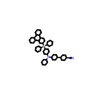 N#Cc1ccc(-c2ccc(N(c3ccccc3)c3ccc([Si](c4ccccc4)(c4ccccc4)c4ccc5c6ccccc6c6ccccc6c5c4)cc3)cc2)cc1